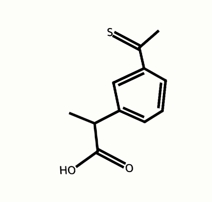 CC(=S)c1cccc(C(C)C(=O)O)c1